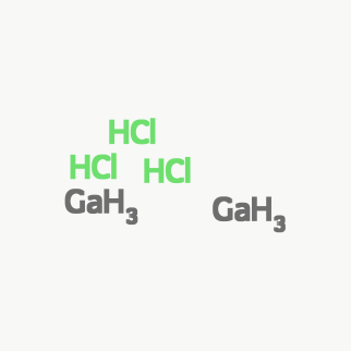 Cl.Cl.Cl.[GaH3].[GaH3]